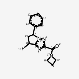 O=C(c1nc2n(n1)C(c1ccccc1)CC2F)N1CCC1